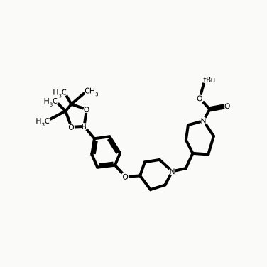 CC(C)(C)OC(=O)N1CCC(CN2CCC(Oc3ccc(B4OC(C)(C)C(C)(C)O4)cc3)CC2)CC1